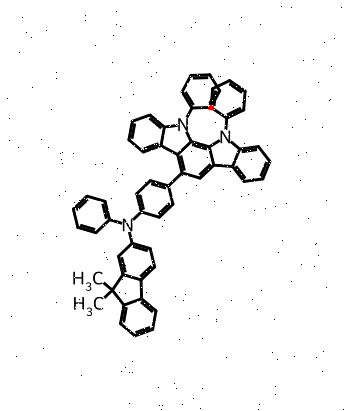 CC1(C)c2ccccc2-c2ccc(N(c3ccccc3)c3ccc(-c4cc5c6ccccc6n(-c6ccccc6)c5c5c4c4ccccc4n5-c4ccccc4)cc3)cc21